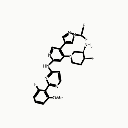 COc1cccc(F)c1-c1nccc(Nc2cc(N3CC[C@H](F)[C@H](N)C3)c(-c3cnn(C(F)F)c3)cn2)n1